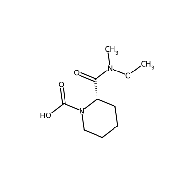 CON(C)C(=O)[C@@H]1CCCCN1C(=O)O